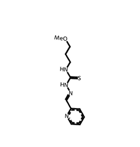 COCCCNC(=S)NN=Cc1ccccn1